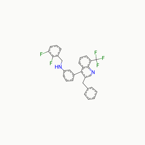 Fc1cccc(CNc2cccc(-c3c(Cc4ccccc4)cnc4c(C(F)(F)F)cccc34)c2)c1F